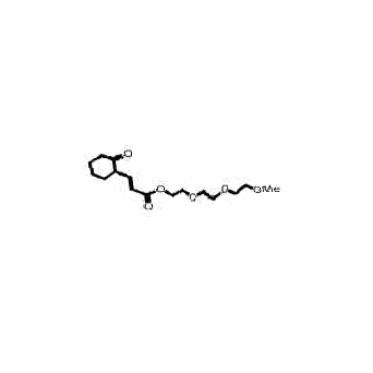 COCCOCCOCCOC(=O)CCC1CCCCC1=O